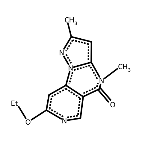 CCOc1cc2c(cn1)c(=O)n(C)c1cc(C)nn21